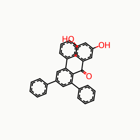 O=C(c1cc(O)cc(O)c1)c1c(-c2ccccc2)cc(-c2ccccc2)cc1-c1ccccc1